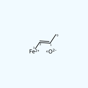 CC=[CH][Fe+2].[O-2]